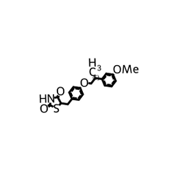 COc1cccc([C@H](C)COc2ccc(CC3SC(=O)NC3=O)cc2)c1